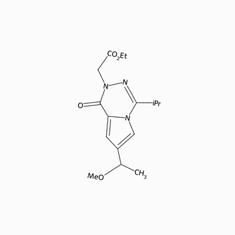 CCOC(=O)Cn1nc(C(C)C)n2cc(C(C)OC)cc2c1=O